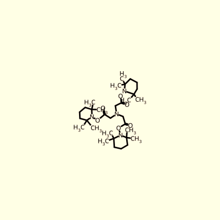 CC1(C)CCCC(C)(C)N1OC(=O)CN(CC(=O)ON1C(C)(C)CCCC1(C)C)CC(=O)ON1C(C)(C)CCCC1(C)C